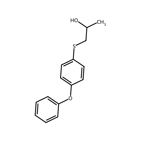 CC(O)CSc1ccc(Oc2ccccc2)cc1